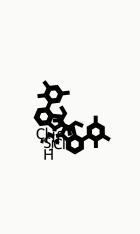 CCC(C)C1=Cc2c(-c3cc(C)cc(C)c3C)cccc2[CH]1[Hf]([Cl])([Cl])([CH]1C(C(C)CC)=Cc2c(-c3cc(C)cc(C)c3C)cccc21)[SiH](C)C